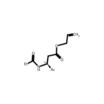 C=CCOC(=O)C[C@H](NC(=O)CC)C(C)=O